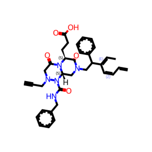 C#CCN1CC(=O)N2[C@@H](CCC(=O)O)C(=O)N(CC(C(/C=C\C=C)=C/C)c3ccccc3)C[C@@H]2N1C(=O)NCc1ccccc1